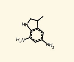 CC1CNc2c(N)cc(N)cc21